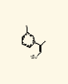 C/C(=C/C(C)(C)C)c1cccc(C)c1